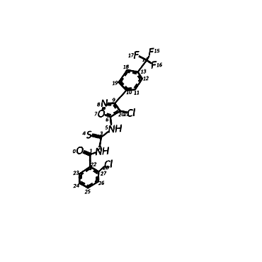 O=C(NC(=S)Nc1onc(-c2ccc(C(F)(F)F)cc2)c1Cl)c1ccccc1Cl